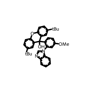 COc1ccc(C2(O)c3cc(C(C)(C)C)ccc3Oc3ccc(C(C)(C)C)cc32)c(-n2cnc3ccccc32)c1